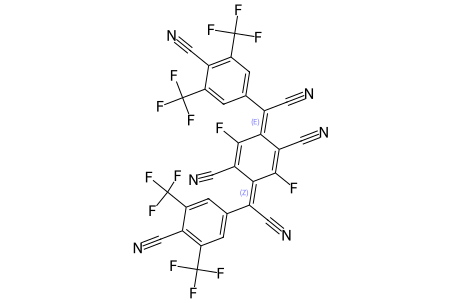 N#C/C(c1cc(C(F)(F)F)c(C#N)c(C(F)(F)F)c1)=c1\c(F)c(C#N)/c(=C(\C#N)c2cc(C(F)(F)F)c(C#N)c(C(F)(F)F)c2)c(F)c1C#N